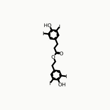 O=C(CCc1cc(I)c(O)c(I)c1)OCCc1cc(I)c(O)c(I)c1